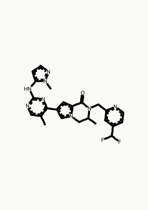 Cc1cnc(Nc2ccnn2C)nc1-c1cc2n(c1)CC(C)N(Cc1cc(C(F)F)ccn1)C2=O